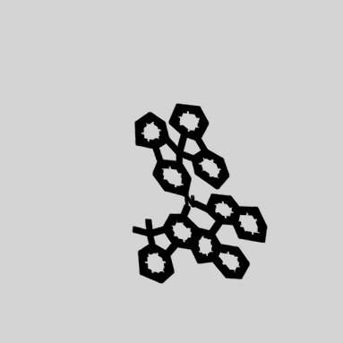 CC1(C)c2ccccc2-c2ccc(N(c3ccc4c(c3)C3(c5ccccc5-c5ccccc53)c3ccccc3-4)c3ccc4ccccc4c3-c3cccc4ccccc34)cc21